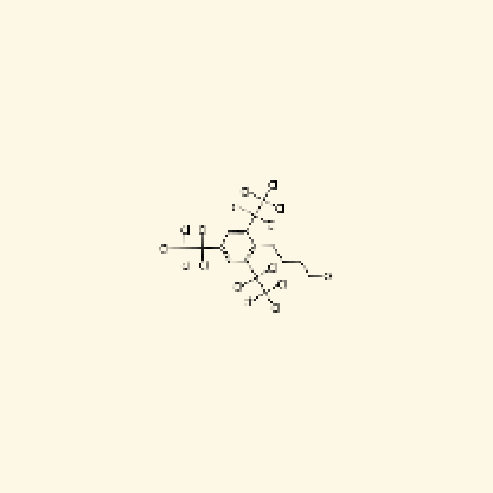 [O]CCCCc1c(C(Cl)(Cl)C(Cl)(Cl)Cl)cc(C(Cl)(Cl)C(Cl)(Cl)Cl)cc1C(Cl)(Cl)C(Cl)(Cl)Cl